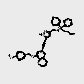 CCCC[Si](OCc1cc(C#Cc2cc(OCc3ccc(OC)cc3)c3ncccc3c2)n(C)n1)(c1ccccc1)c1ccccc1